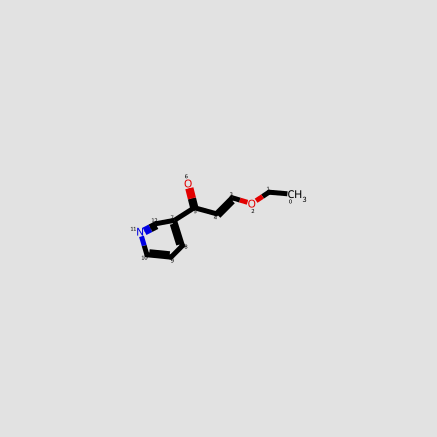 CCOC=CC(=O)c1cccnc1